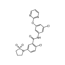 O=C(Nc1cc(Cl)cc(Oc2ncccn2)c1)c1cc(N2CCCS2(=O)=O)ccc1Cl